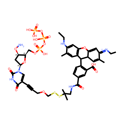 CC/N=C1/C=C2Oc3cc(NCC)c(C)cc3C(c3ccc(C(=O)NCC(C)(C)SSCOCC#Cc4cn([C@H]5C[C@@H](ON)[C@@H](COP(=O)(O)OP(=O)(O)OP(=O)(O)O)O5)c(=O)[nH]c4=O)cc3C(=O)O)C2C=C1C